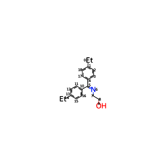 CCc1ccc(C(=NCCO)c2ccc(CC)cc2)cc1